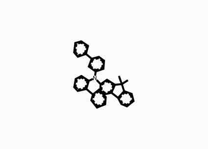 CC1(C)c2ccccc2-c2ccc(N(c3cccc(-c4ccccc4)c3)c3ccccc3-c3ccccc3)cc21